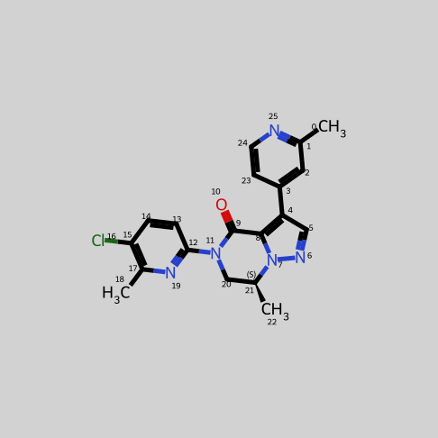 Cc1cc(-c2cnn3c2C(=O)N(c2ccc(Cl)c(C)n2)C[C@@H]3C)ccn1